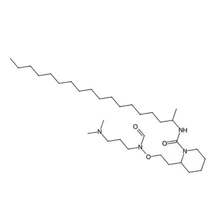 CCCCCCCCCCCCCCCCC(C)NC(=O)N1CCCCC1CCON(C=O)CCCN(C)C